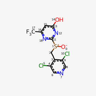 [O-][S+](Cc1c(Cl)cncc1Cl)c1nc(O)cc(C(F)(F)F)n1